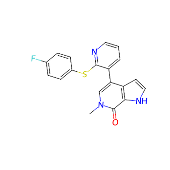 Cn1cc(-c2cccnc2Sc2ccc(F)cc2)c2cc[nH]c2c1=O